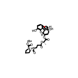 C[C@H](OC(=O)CCNC(=O)[C@@H]1CCCN1C(=O)OC(C)(C)C)C(=O)OC1=CC[C@@]2(O)[C@@H]3CCC[C@@]24c2c(ccc(O)c2O[C@@H]14)C3